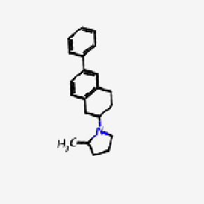 CC1CCCN1C1CCc2cc(-c3ccccc3)ccc2C1